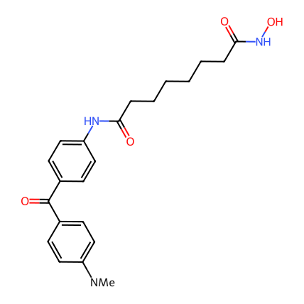 CNc1ccc(C(=O)c2ccc(NC(=O)CCCCCCC(=O)NO)cc2)cc1